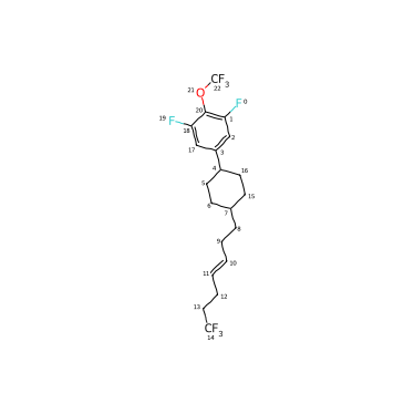 Fc1cc(C2CCC(CC/C=C/CCC(F)(F)F)CC2)cc(F)c1OC(F)(F)F